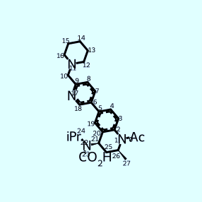 CC(=O)N1c2ccc(-c3ccc(CN4CCCCC4)nc3)cc2[C@H](N(C(=O)O)C(C)C)C[C@@H]1C